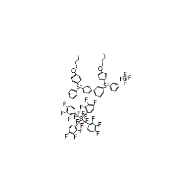 CCCCOc1ccc([S+](c2ccccc2)c2ccccc2)cc1.CCCCOc1ccc([S+](c2ccccc2)c2ccccc2)cc1.F[B-](F)(F)F.Fc1ccc(C(F)(F)[B-](C(F)(F)c2ccc(F)c(F)c2F)(C(F)(F)c2ccc(F)c(F)c2F)C(F)(F)c2ccc(F)c(F)c2F)c(F)c1F